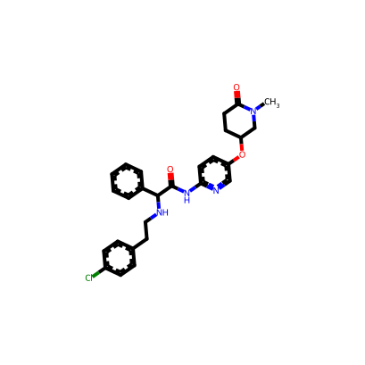 CN1CC(Oc2ccc(NC(=O)C(NCCc3ccc(Cl)cc3)c3ccccc3)nc2)CCC1=O